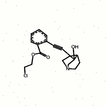 O=C(OCCCl)c1ccccc1C#CC1(O)CN2CCC1CC2